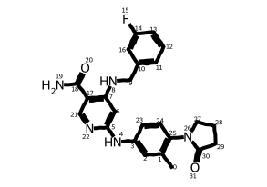 Cc1cc(Nc2cc(NCc3cccc(F)c3)c(C(N)=O)cn2)ccc1N1CCCC1=O